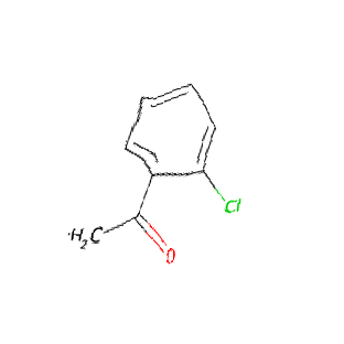 [CH2]C(=O)c1ccccc1Cl